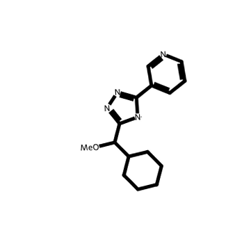 COC(C1=NN=C(c2cccnc2)[N]1)C1CCCCC1